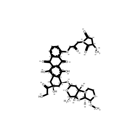 CO[C@H]1OCCN2[C@@H]1O[C@@H]1[C@H](C)O[C@@H](O[C@H]3C[C@](O)(C(=O)CO)Cc4c(O)c5c(c(O)c43)C(=O)c3c(OCC(=O)CN4C(=O)CC(SC)C4=O)cccc3C5=O)C[C@@H]12